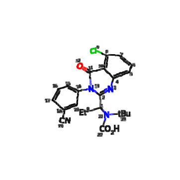 CCC(c1nc2cccc(Cl)c2c(=O)n1-c1cccc(C#N)c1)N(C(=O)O)C(C)(C)C